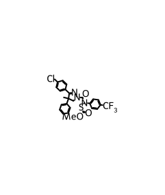 COC(=O)SN(C(=O)N1CC(C)(c2ccccc2)C(c2ccc(Cl)cc2)=N1)c1ccc(C(F)(F)F)cc1